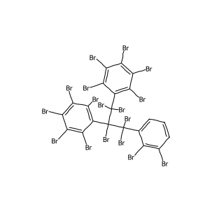 Brc1cccc(C(Br)(Br)C(Br)(c2c(Br)c(Br)c(Br)c(Br)c2Br)C(Br)(Br)c2c(Br)c(Br)c(Br)c(Br)c2Br)c1Br